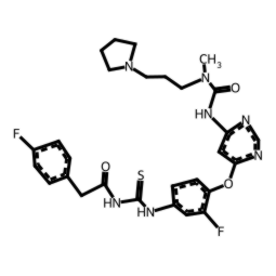 CN(CCCN1CCCC1)C(=O)Nc1cc(Oc2ccc(NC(=S)NC(=O)Cc3ccc(F)cc3)cc2F)ncn1